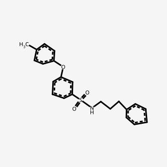 Cc1ccc(Oc2cccc(S(=O)(=O)NCCCc3ccccc3)c2)cc1